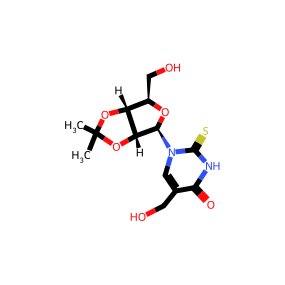 CC1(C)O[C@@H]2[C@H](O1)[C@@H](CO)O[C@H]2n1cc(CO)c(=O)[nH]c1=S